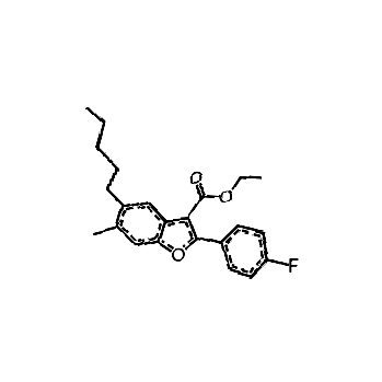 CCCCCc1cc2c(C(=O)OCC)c(-c3ccc(F)cc3)oc2cc1C